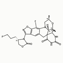 C[C@@H]1CN2c3c(cc4c(N5C(=O)OC[C@@H]5CCCF)noc4c3F)CC3(C(=O)NC(=O)NC3O)[C@H]2[C@H](C)O1